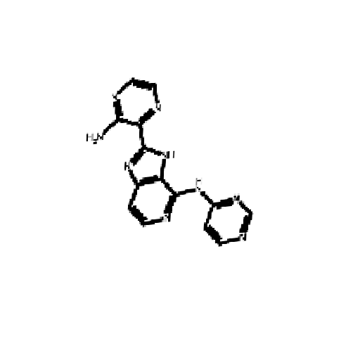 Nc1nccnc1-c1nc2ccnc(Nc3ccncn3)c2[nH]1